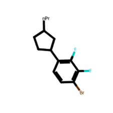 CCCC1CCC(c2ccc(Br)c(F)c2F)C1